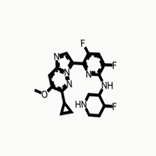 COc1cc2ncc(-c3nc(NC4CNCCC4F)c(F)cc3F)n2nc1C1CC1